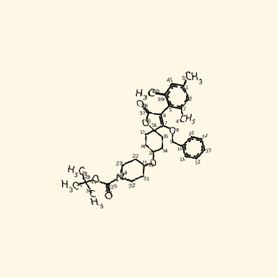 Cc1cc(C)c(C2=C(OCc3ccccc3)C3(CCC(OC4CCN(C(=O)OC(C)(C)C)CC4)CC3)OC2=O)c(C)c1